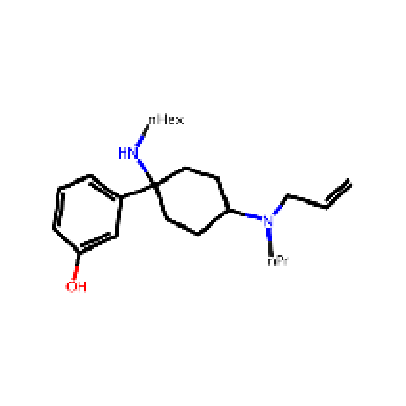 C=CCN(CCC)C1CCC(NCCCCCC)(c2cccc(O)c2)CC1